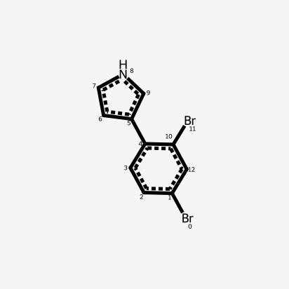 Brc1c[c]c(-c2cc[nH]c2)c(Br)c1